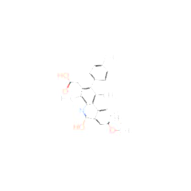 C=C(/C=c1/c(O)nc2c(C)c(CC(=O)O)c(-c3ccc(C)cc3)c(C)c2/c1=C/C)OC